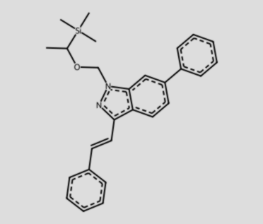 CC(OCn1nc(/C=C/c2ccccc2)c2ccc(-c3ccccc3)cc21)[Si](C)(C)C